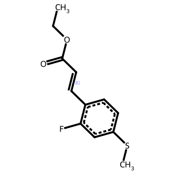 CCOC(=O)/C=C/c1ccc(SC)cc1F